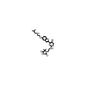 CC(C)CNCCOc1ccc2sc(-c3nc(NCCN4C(=O)NC(=O)C4(C)C)ncc3Br)cc2c1